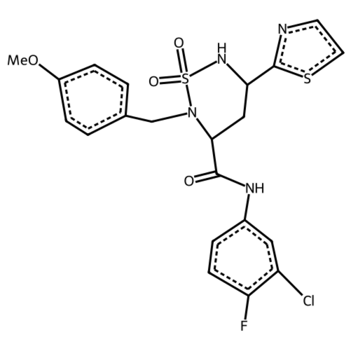 COc1ccc(CN2C(C(=O)Nc3ccc(F)c(Cl)c3)CC(c3nccs3)NS2(=O)=O)cc1